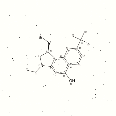 CCN1C[C@@H](CBr)c2c1cc(O)c1ccc(C(C)(C)C)cc21